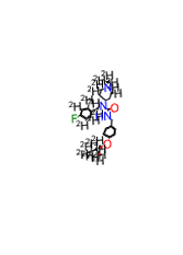 [2H]c1c([2H])c(C([2H])([2H])N(C(=O)NCc2ccc(OC([2H])([2H])C([2H])(C([2H])([2H])[2H])C([2H])([2H])[2H])cc2)C2CC([2H])([2H])N(C([2H])([2H])[2H])C([2H])([2H])C2)c([2H])c([2H])c1F